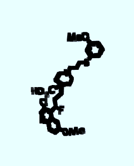 COc1cccc(SCCCN2CCC(CC[C@@H](F)c3c(Cl)cnc4ccc(OC)cc34)(C(=O)O)CC2)c1